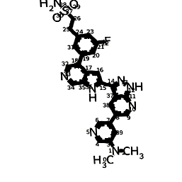 CN(C)c1cncc(-c2cnc3[nH]nc(-c4cc5c(-c6cc(F)cc(CCS(N)(=O)=O)c6)cncc5[nH]4)c3c2)c1